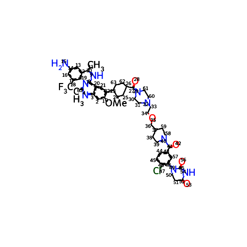 COc1cc2nc(C)nc(N[C@H](C)c3cc(N)cc(C(F)(F)F)c3)c2cc1C1CCC(C(=O)N2CCN(CCOCC3CCN(C(=O)c4ccc(Cl)c(N5CCC(=O)NC5=O)c4)CC3)CC2)CC1